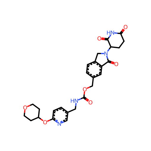 O=C1CCC(N2Cc3ccc(COC(=O)NCc4ccc(OC5CCOCC5)nc4)cc3C2=O)C(=O)N1